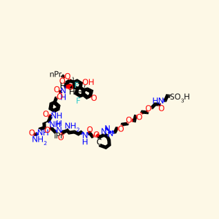 CCCC1O[C@@H]2C[C@H]3[C@@H]4C[C@H](F)C5=CC(=O)C=C[C@]5(C)[C@@]4(F)[C@@H](O)C[C@]3(C)[C@]2(C(=O)CNC(=O)OCc2ccc(NC(=O)[C@H](CCCNC(N)=O)NC(=O)[C@@H](NC(=O)[C@H](N)CCCCNC(=O)COC3CCCCCc4c3nnn4CCOCCOCCOCCOCCC(=O)NCCS(=O)(=O)O)C(C)C)cc2)O1